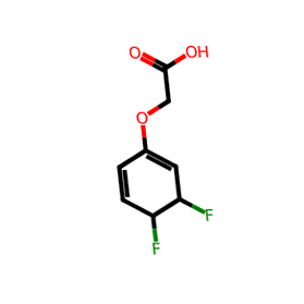 O=C(O)COC1=CC(F)C(F)C=C1